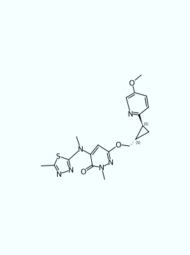 COc1ccc([C@H]2C[C@@H]2COc2cc(N(C)c3nnc(C)s3)c(=O)n(C)n2)nc1